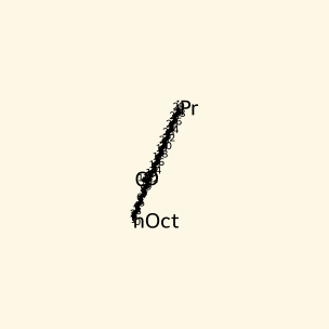 CCCCCCCC/C=C\CCCCCCCC(=O)OCCCCCCCCCCCCCCCCC(C)C